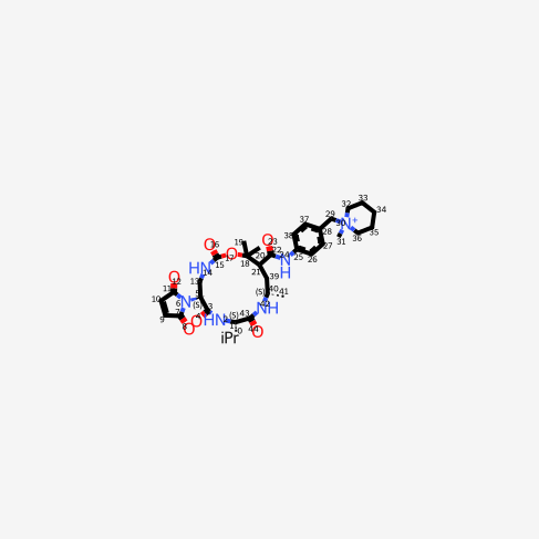 CC(C)[C@@H]1NC(=O)[C@@H](N2C(=O)C=CC2=O)CNC(=O)OC(C)(C)C(C(=O)Nc2ccc(C[N+]3(C)CCCCC3)cc2)C[C@H](C)NC1=O